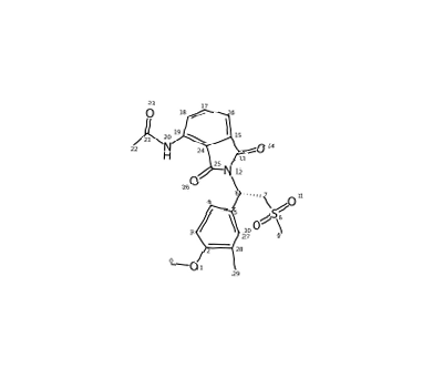 COc1ccc([C@@H](CS(C)(=O)=O)N2C(=O)c3cccc(NC(C)=O)c3C2=O)cc1C